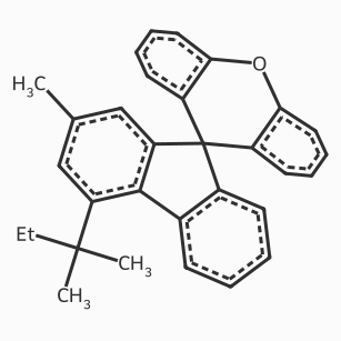 CCC(C)(C)c1cc(C)cc2c1-c1ccccc1C21c2ccccc2Oc2ccccc21